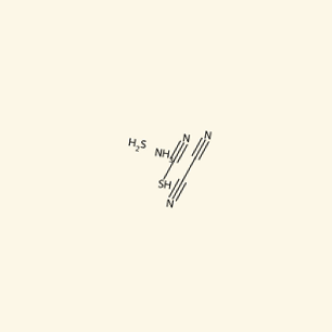 N.N#CC#N.N#CS.S